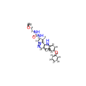 Cc1c(NC(=O)NCCOC(C)C)cn2ncc(C#N)c(Nc3ccc(Oc4ccccc4)cc3)c12